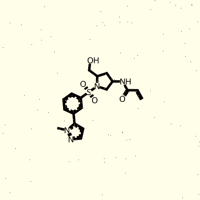 C=CC(=O)NC1CC(CO)N(S(=O)(=O)c2cccc(-c3ccnn3C)c2)C1